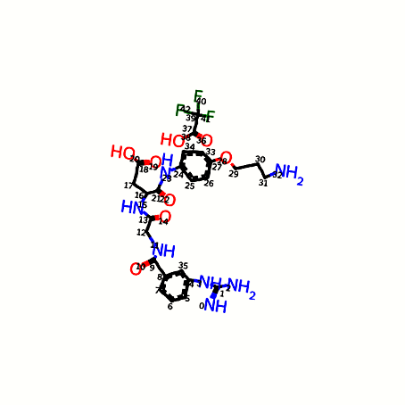 N=C(N)Nc1cccc(C(=O)NCC(=O)NC(CC(=O)O)C(=O)Nc2ccc(OCCCN)cc2)c1.O=C(O)C(F)(F)F